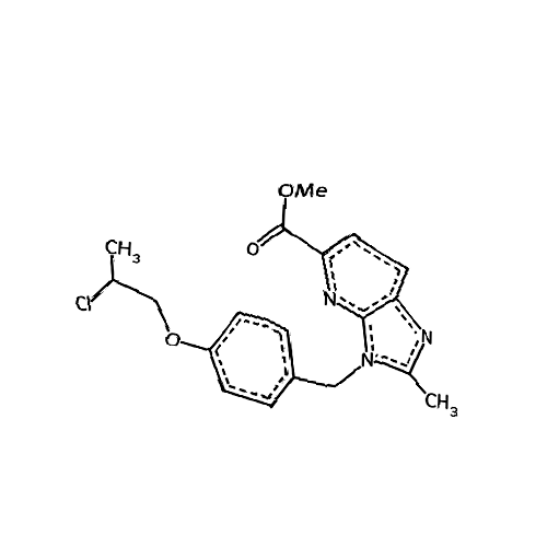 COC(=O)c1ccc2nc(C)n(Cc3ccc(OCC(C)Cl)cc3)c2n1